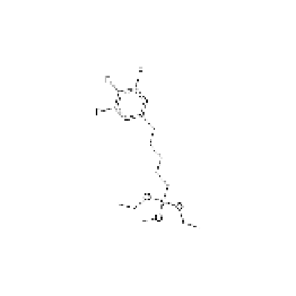 CCO[Si](CCCCCc1cc(F)c(F)c(F)c1)(OC)OCC